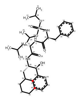 CC(C)C[C@H](NC(=O)[C@H](Cc1ccccc1)NP(=O)(OC(C)C)OC(C)C)C(=O)N[C@@H](CC1CCCCC1)[C@@H](O)c1ccccn1